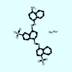 Nc1ccc(N=Nc2ccc(N=Nc3ccc(S(=O)(=O)[O-])c4ccccc34)c3ccc(S(=O)(=O)[O-])cc23)c2ccccc12.[Na+].[Na+]